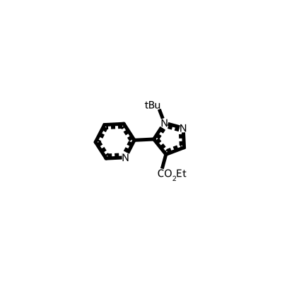 CCOC(=O)c1cnn(C(C)(C)C)c1-c1ccccn1